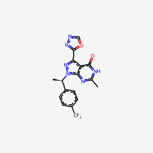 Cc1nc2c(c(-c3nnco3)nn2[C@H](C)c2ccc(C(F)(F)F)cc2)c(=O)[nH]1